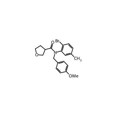 COc1ccc(CN(C(=O)C2CCOC2)c2cc(C)ccc2Br)cc1